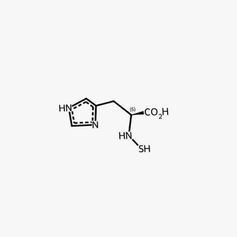 O=C(O)[C@H](Cc1c[nH]cn1)NS